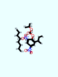 CCC(C)c1cc([N+](=O)[O-])cc([N+](=O)[O-])c1OC(=O)OC(C)C.CCC[CH]CCCC